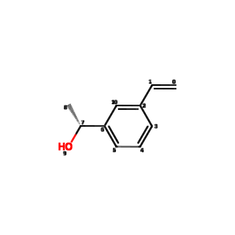 C=Cc1cccc([C@@H](C)O)c1